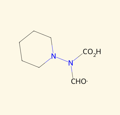 O=[C]N(C(=O)O)N1CCCCC1